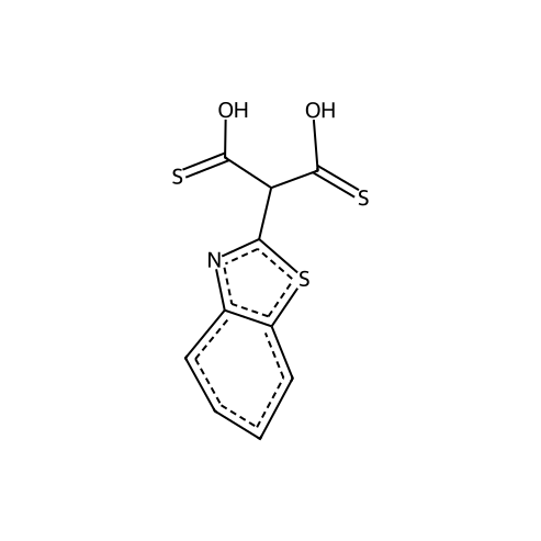 OC(=S)C(C(O)=S)c1nc2ccccc2s1